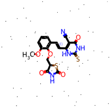 COc1cccc(/C=C/c2[nH]c(=S)[nH]c(=O)c2C#N)c1OCC1SC(=O)NC1=O